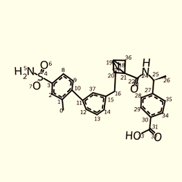 Cc1cc(S(N)(=O)=O)ccc1-c1cccc(CN2CC3CC2(C(=O)N[C@@H](C)c2ccc(C(=O)O)cc2)C3)c1